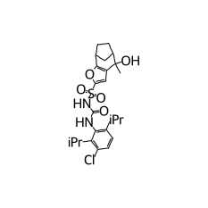 CC(C)c1ccc(Cl)c(C(C)C)c1NC(=O)NS(=O)(=O)c1cc2c(o1)C1CCC(C1)C2(C)O